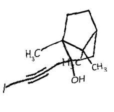 CC1(C)C2CCC1(C)C(O)(C#CI)C2